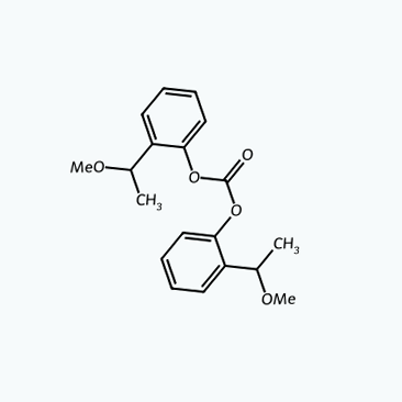 COC(C)c1ccccc1OC(=O)Oc1ccccc1C(C)OC